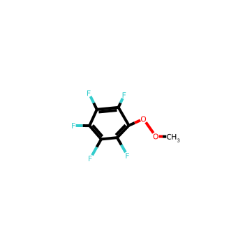 COOc1c(F)c(F)c(F)c(F)c1F